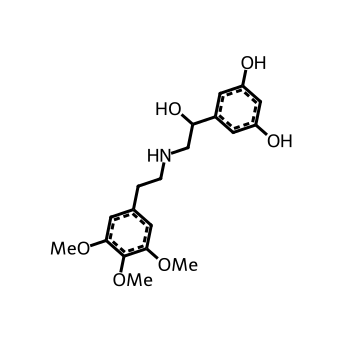 COc1cc(CCNCC(O)c2cc(O)cc(O)c2)cc(OC)c1OC